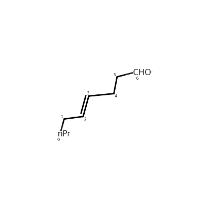 CCCCC=CCC[C]=O